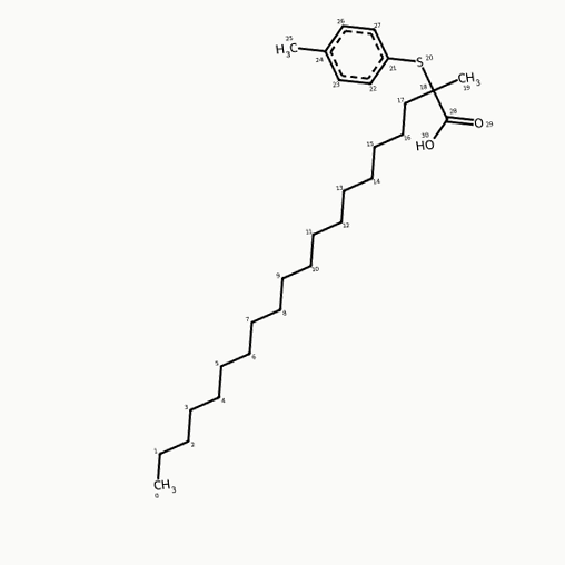 CCCCCCCCCCCCCCCCCCC(C)(Sc1ccc(C)cc1)C(=O)O